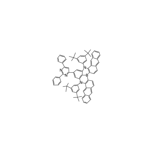 CC(C)(C)c1cc(N2c3cc(-c4cc(-c5ccccc5)nc(-c5ccccc5)n4)cc4c3B(c3ccc5cc6ccccc6cc5c32)c2ccc3cc5ccccc5cc3c2N4c2cc(C(C)(C)C)cc(C(C)(C)C)c2)cc(C(C)(C)C)c1